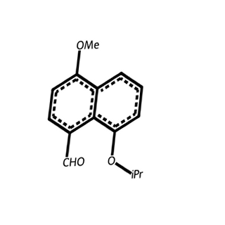 COc1ccc(C=O)c2c(OC(C)C)cccc12